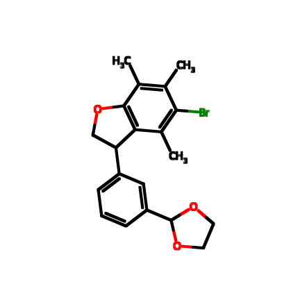 Cc1c(C)c2c(c(C)c1Br)C(c1cccc(C3OCCO3)c1)CO2